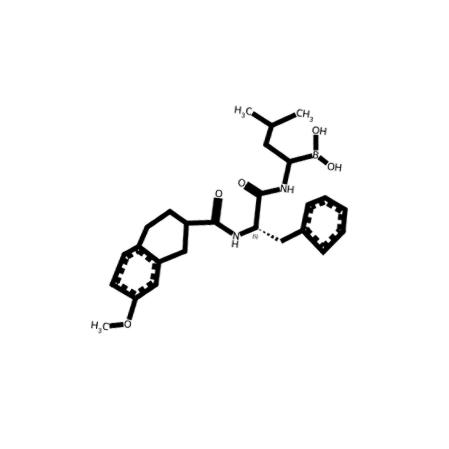 COc1ccc2c(c1)CC(C(=O)N[C@@H](Cc1ccccc1)C(=O)NC(CC(C)C)B(O)O)CC2